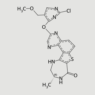 COCc1cnc(Cl)nc1Oc1cnc2c(ccc3sc4c(c32)NC[C@@H](C)NC4=O)n1